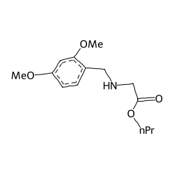 CCCOC(=O)CNCc1ccc(OC)cc1OC